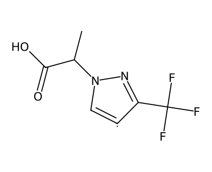 CC(C(=O)O)n1c[c]c(C(F)(F)F)n1